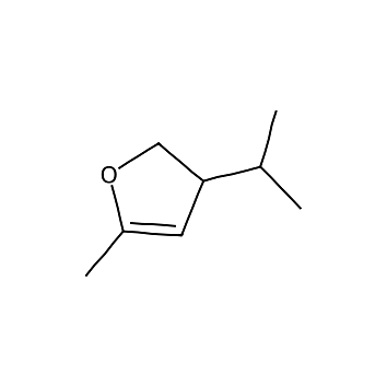 CC1=CC(C(C)C)CO1